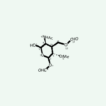 CO[C@@H]1C(OC=O)OC(O)[C@@H](NC(C)=O)C1COC=O